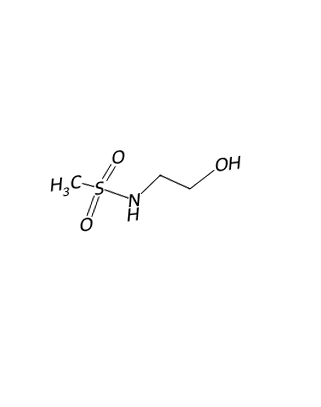 CS(=O)(=O)NCCO